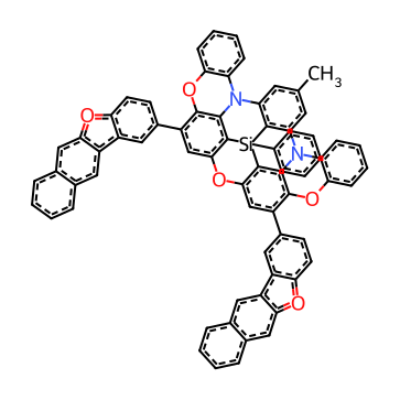 Cc1cc2c3c(c1)N1c4ccccc4Oc4c(-c5ccc6oc7cc8ccccc8cc7c6c5)cc5c(c41)[Si]3(c1ccccc1)c1c(cc(-c3ccc4oc6cc7ccccc7cc6c4c3)c3c1N2c1ccccc1O3)O5